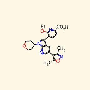 CCOc1nc(C(=O)O)ccc1-c1cn(C2CCOCC2)c2ncc(-c3c(C)noc3C)cc12